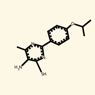 Cc1nc(-c2ccc(OC(C)C)cc2)nc(S)c1N